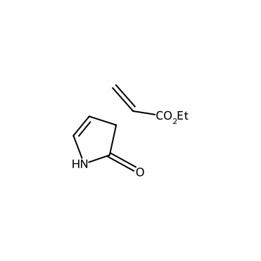 C=CC(=O)OCC.O=C1CC=CN1